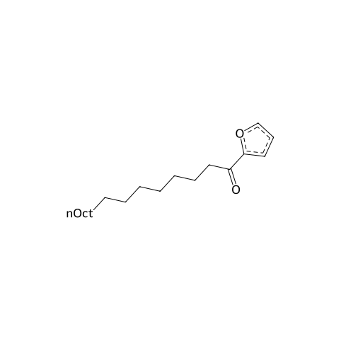 CCCCCCCCCCCCCCCC(=O)c1ccco1